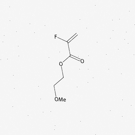 C=C(F)C(=O)OCCOC